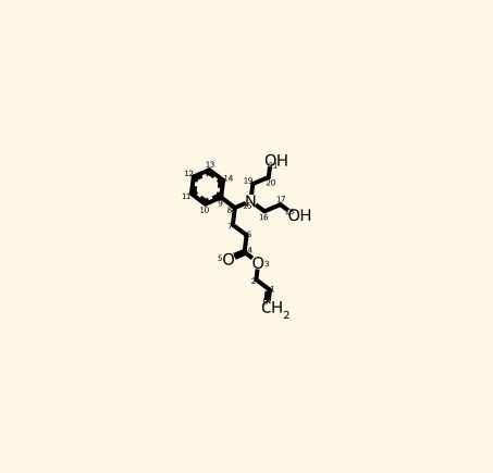 C=CCOC(=O)CCC(c1ccccc1)N(CCO)CCO